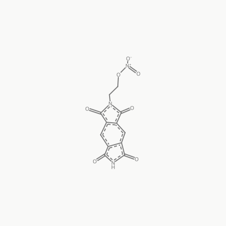 O=c1[nH]c(=O)c2cc3c(=O)n(CCO[N+](=O)[O-])c(=O)c3cc12